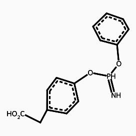 N=[PH](Oc1ccccc1)Oc1ccc(CC(=O)O)cc1